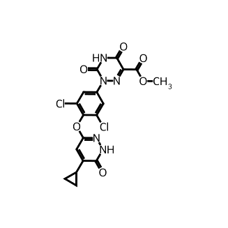 COC(=O)c1nn(-c2cc(Cl)c(Oc3cc(C4CC4)c(=O)[nH]n3)c(Cl)c2)c(=O)[nH]c1=O